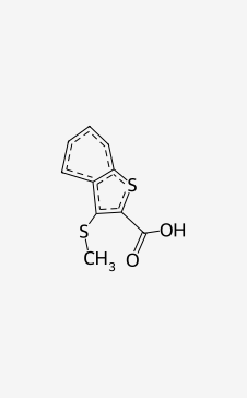 CSc1c(C(=O)O)sc2ccccc12